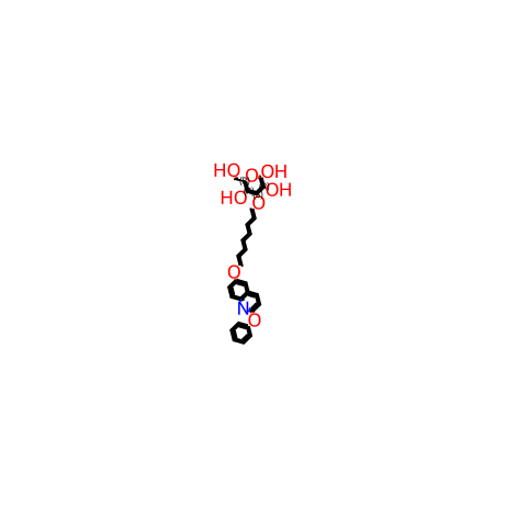 OC[C@H]1OC(O)[C@H](O)[C@@H](OCCCCCCCCOc2ccc3nc(Oc4ccccc4)ccc3c2)[C@@H]1O